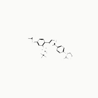 CC(=O)Nc1ccc(-c2cnc(-c3ccc(N4CCOC4O)cc3)s2)c(S(=O)(=O)NC(C)(C)C)c1